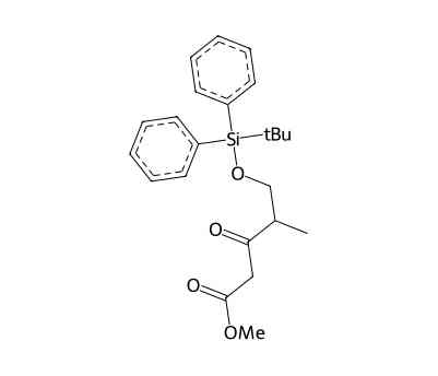 COC(=O)CC(=O)C(C)CO[Si](c1ccccc1)(c1ccccc1)C(C)(C)C